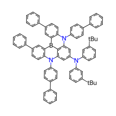 CC(C)(C)c1cccc(N(c2cccc(C(C)(C)C)c2)c2cc3c4c(c2)N(c2ccc(-c5ccccc5)cc2)c2ccc(-c5ccccc5)cc2B4c2cc(-c4ccccc4)ccc2N3c2ccc(-c3ccccc3)cc2)c1